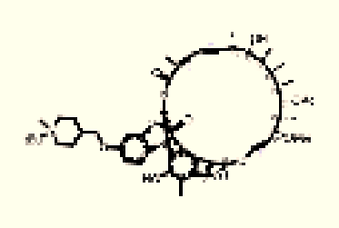 CO[C@H]1/C=C/O[C@@]2(C)Oc3c(C)c(O)c4c(=O)c(c5oc6cc(OCC7CC[N+](C)(C(C)(C)C)CC7)ccc6nc-5c4c3C2=O)NC(=O)/C(C)=C\C=C\[C@H](C)[C@H](O)[C@@H](C)[C@@H](C)[C@@H](C)[C@H](OC(C)=O)[C@@H]1C